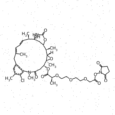 C/C1=C\C=C\[C@@H](C)[C@@]2(O)CC(OC(=O)N2)[C@@H](C)[C@@H]2O[C@@]2(C)[C@@H](OC(=O)[C@H](C)OCCOCCOCC(=O)ON2C(=O)CCC2=O)CC(=O)N(C)c2cc(cc(C)c2Cl)C1